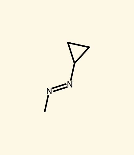 CN=NC1CC1